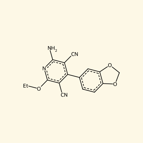 CCOc1nc(N)c(C#N)c(-c2ccc3c(c2)OCO3)c1C#N